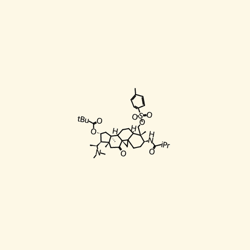 Cc1ccc(S(=O)(=O)OC[C@]2(C)[C@@H](NC(=O)C(C)C)CCC34C[C@]35C(=O)C[C@]3(C)[C@@H]([C@H](C)N(C)C)[C@H](OC(=O)C(C)(C)C)C[C@@]3(C)[C@@H]5CC[C@H]42)cc1